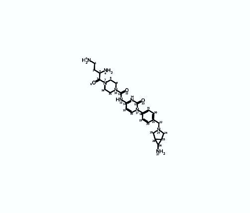 NCCC(N)C(=O)N1CCN(C(=O)Nc2ccn(-c3ccc(CN4CC5C(N)C5C4)cc3)c(=O)n2)CC1